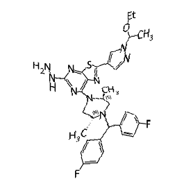 CCOC(C)n1cc(-c2nc3c(N4C[C@@H](C)N(C(c5ccc(F)cc5)c5ccc(F)cc5)C[C@@H]4C)nc(NN)nc3s2)cn1